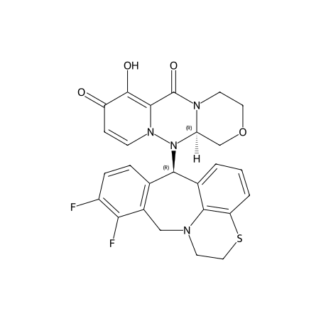 O=C1c2c(O)c(=O)ccn2N([C@@H]2c3ccc(F)c(F)c3CN3CCSc4cccc2c43)[C@@H]2COCCN12